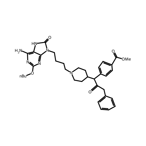 CCCCOc1nc(N)c2[nH]c(=O)n(CCCCN3CCC(C(C(=O)Cc4ccccc4)c4ccc(C(=O)OC)cc4)CC3)c2n1